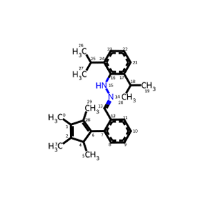 CC1=C(C)C(C)C(c2ccccc2C=NNc2c(C(C)C)cccc2C(C)C)=C1C